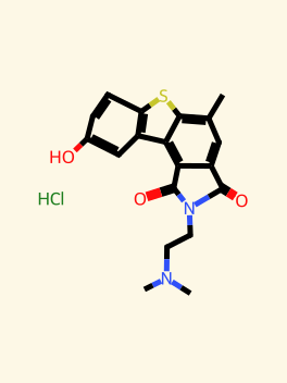 Cc1cc2c(c3c1sc1ccc(O)cc13)C(=O)N(CCN(C)C)C2=O.Cl